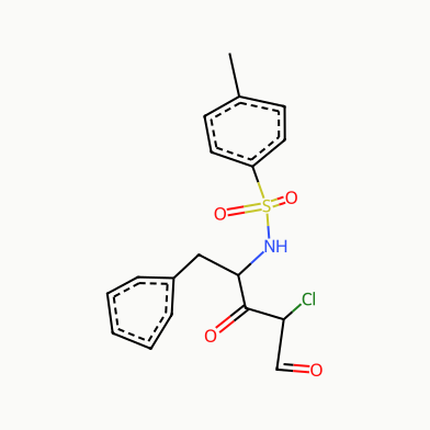 Cc1ccc(S(=O)(=O)NC(Cc2ccccc2)C(=O)C(Cl)C=O)cc1